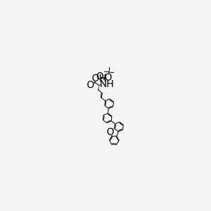 CC(C)(C)OC(=O)N[C@@H](C/C=C/c1cccc(-c2cccc(-c3cccc4c3oc3ccccc34)c2)c1)C(=O)O